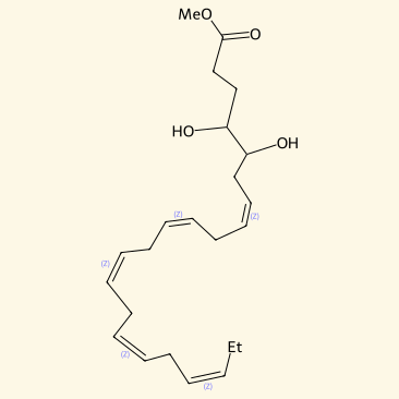 CC/C=C\C/C=C\C/C=C\C/C=C\C/C=C\CC(O)C(O)CCC(=O)OC